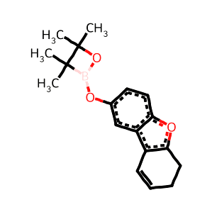 CC1(C)OB(Oc2ccc3oc4c(c3c2)C=CCC4)C1(C)C